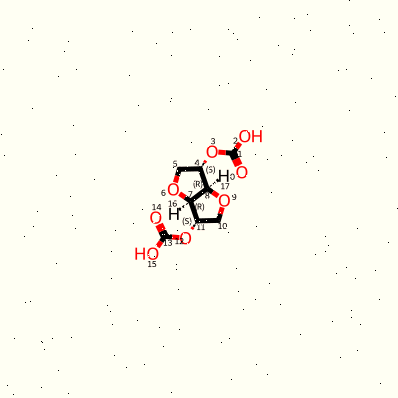 O=C(O)O[C@H]1CO[C@H]2[C@@H]1OC[C@@H]2OC(=O)O